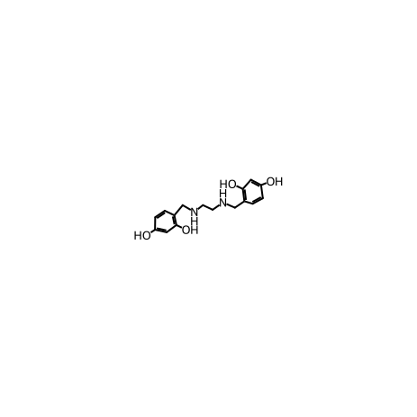 Oc1ccc(CNCCNCc2ccc(O)cc2O)c(O)c1